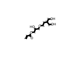 C=CC(=O)OCC(O)COCCC(CO)CO